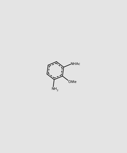 COc1c(N)cccc1NC(C)=O